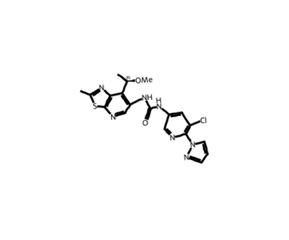 CO[C@H](C)c1c(NC(=O)Nc2cnc(-n3cccn3)c(Cl)c2)cnc2sc(C)nc12